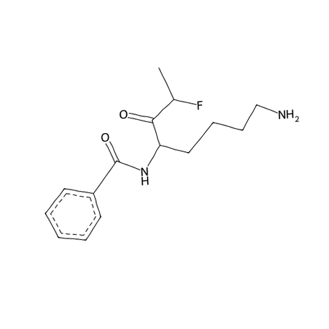 CC(F)C(=O)C(CCCCN)NC(=O)c1ccccc1